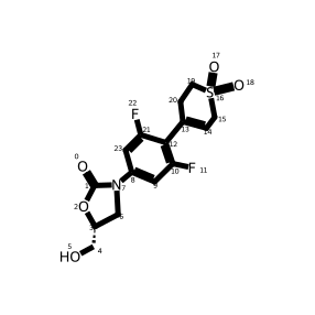 O=C1O[C@@H](CO)CN1c1cc(F)c(C2=CCS(=O)(=O)CC2)c(F)c1